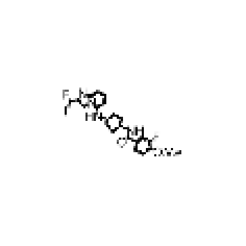 COc1ccc(C(=O)Nc2ccc(Nc3cccc4nc(C(F)F)cn34)cc2)cc1F